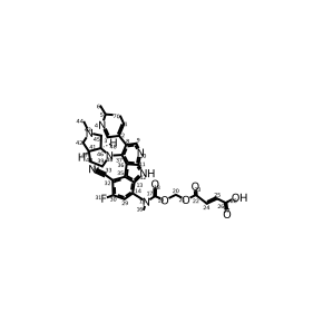 C/C=C(\C=N/C(C)C)c1cnc2[nH]c3c(N(C)C(=O)OCOC(=O)/C=C/C(=O)O)cc(F)c(C#N)c3c2c1N1CC[C@H]2CN(C)C[C@H]21